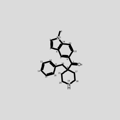 Cn1ccc2cc(C(=O)C3(Cc4ccccc4)CCNCC3)ccc21